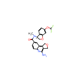 CN(C(=O)c1ccc2nc(N)c3c(c2c1)COC3)[C@@H]1COc2cc(OC(F)F)ccc21